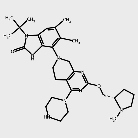 Cc1cc2c([nH]c(=O)n2C(C)(C)C)c(N2CCc3c(nc(OC[C@@H]4CCCN4C)nc3N3CCNCC3)C2)c1C